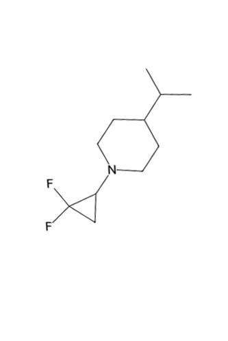 CC(C)C1CCN(C2CC2(F)F)CC1